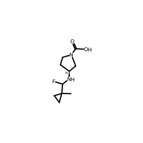 CC1(C(F)N[C@H]2CCN(C(=O)O)C2)CC1